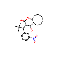 CC(C)(C)C(C1=C(O)C2CCCCCCC2OC1=O)c1cccc([N+](=O)[O-])c1